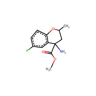 COC(=O)C1(N)CC(C)Oc2ccc(F)cc21